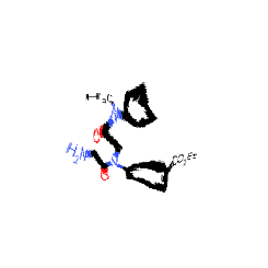 CCOC(=O)c1cccc(N(CC(=O)N(C)c2ccccc2)C(=O)CN)c1